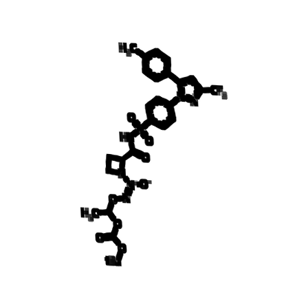 Cc1ccc(-c2cc(C(F)(F)F)nn2-c2ccc(S(=O)(=O)NC(=O)[C@@H]3CCN3/[N+]([O-])=N\OC(C)OC(=O)OC(C)(C)C)cc2)cc1